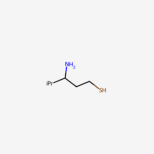 CC(C)C(N)CCS